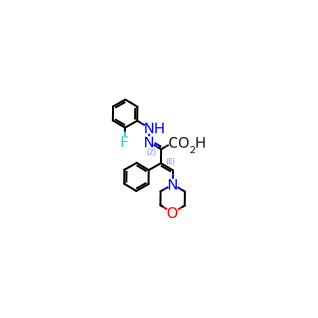 O=C(O)C(=N\Nc1ccccc1F)/C(=C/N1CCOCC1)c1ccccc1